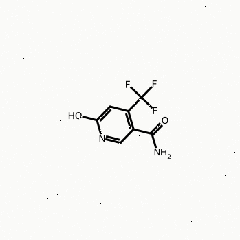 NC(=O)c1cnc(O)cc1C(F)(F)F